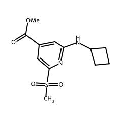 COC(=O)c1cc(NC2CCC2)nc(S(C)(=O)=O)c1